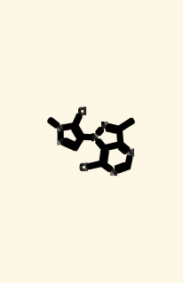 Cc1nn(-c2cnn(C)c2Cl)c2c(Cl)ncnc12